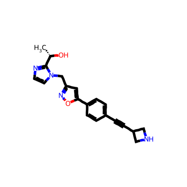 C[C@H](O)c1nccn1Cc1cc(-c2ccc(C#CC3CNC3)cc2)on1